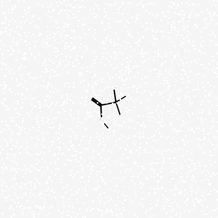 C=C(NCC)C(C)(CCC)CCC